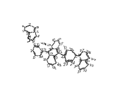 c1cc(-c2cc3ccccc3s2)cc(-c2c3ccccc3c(-c3ccc(-c4cccc5ccccc45)cc3)c3ccccc23)c1